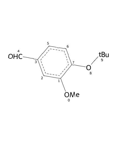 COc1cc(C=O)ccc1OC(C)(C)C